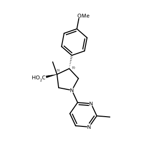 COc1ccc([C@@H]2CN(c3ccnc(C)n3)C[C@@]2(C)C(=O)O)cc1